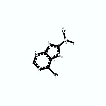 CC(C)c1ncnc2nc([S+](C)[O-])sc12